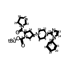 CC(C)(C)OC(=O)N1C[C@@H](N2CCN(c3nccn3-c3ccccc3)CC2)C[C@H]1C(=O)N1CCSC1